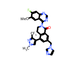 COc1cc2c(N3CCc4c(cc(Cn5ccnc5)cc4-c4cn(C)nc4C(F)(F)F)C3=O)ncnc2cc1F